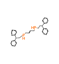 C(=CCPCCC(c1ccccc1)c1ccccc1)CPCCC(c1ccccc1)c1ccccc1